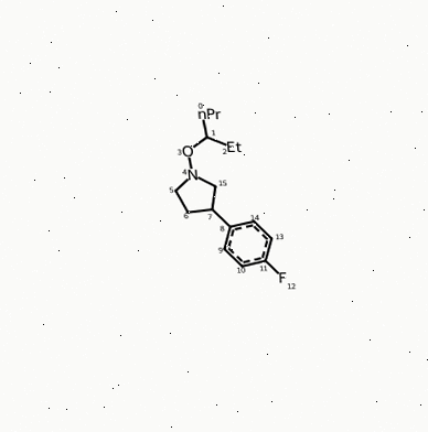 CCCC(CC)ON1CCC(c2ccc(F)cc2)C1